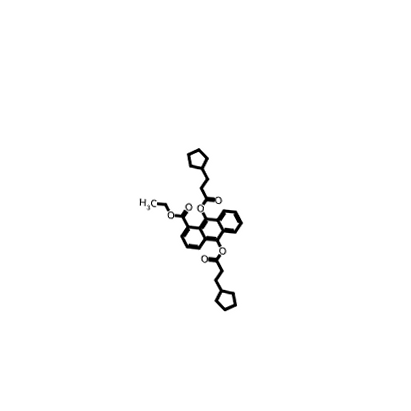 CCOC(=O)c1cccc2c(OC(=O)CCC3CCCC3)c3ccccc3c(OC(=O)CCC3CCCC3)c12